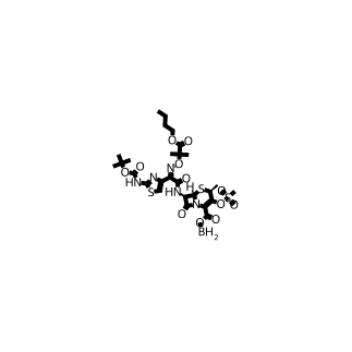 BOC(=O)C1=C(OS(C)(=O)=O)[C@H](C)S[C@@H]2[C@H](NC(=O)/C(=N\OC(C)(C)C(=O)OCCCC)c3csc(NC(=O)OC(C)(C)C)n3)C(=O)N12